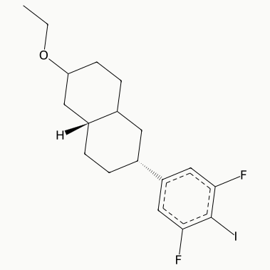 CCOC1CCC2C[C@H](c3cc(F)c(I)c(F)c3)CC[C@@H]2C1